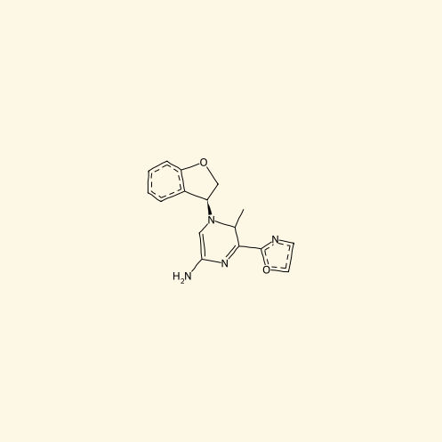 CC1C(c2ncco2)=NC(N)=CN1[C@@H]1COc2ccccc21